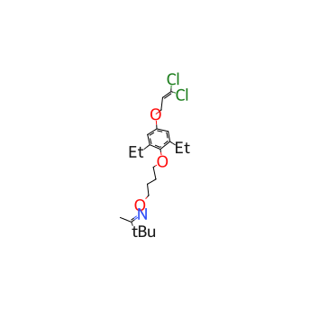 CCc1cc(OCC=C(Cl)Cl)cc(CC)c1OCCCCO/N=C(\C)C(C)(C)C